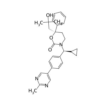 Cc1ncc(-c2ccc([C@H](C3CC3)N3CC[C@](CC(C)(C)O)(c4ccccc4)OC3=O)cc2)cn1